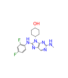 CNc1ncc2nc(Nc3ccc(F)cc3F)n([C@H]3CC[C@@H](O)CC3)c2n1